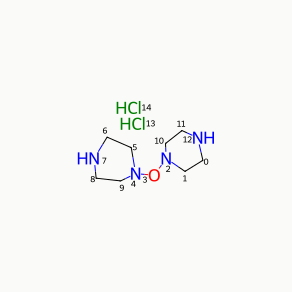 C1CN(ON2CCNCC2)CCN1.Cl.Cl